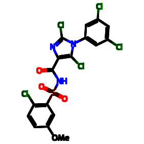 COc1ccc(Cl)c(S(=O)(=O)NC(=O)c2nc(Cl)n(-c3cc(Cl)cc(Cl)c3)c2Cl)c1